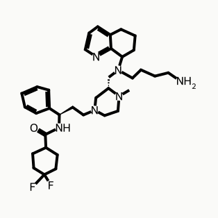 CN1CCN(CC[C@@H](NC(=O)C2CCC(F)(F)CC2)c2ccccc2)C[C@@H]1CN(CCCCN)C1CCCc2cccnc21